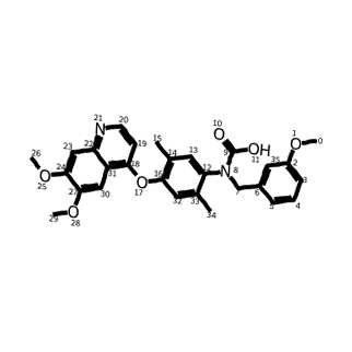 COc1cccc(CN(C(=O)O)c2cc(C)c(Oc3ccnc4cc(OC)c(OC)cc34)cc2C)c1